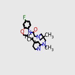 C#CC1=CC(N(C)CC2(C)CN(CC(=O)N3c4ccc(F)cc4OCC3C)C2)=NCC1